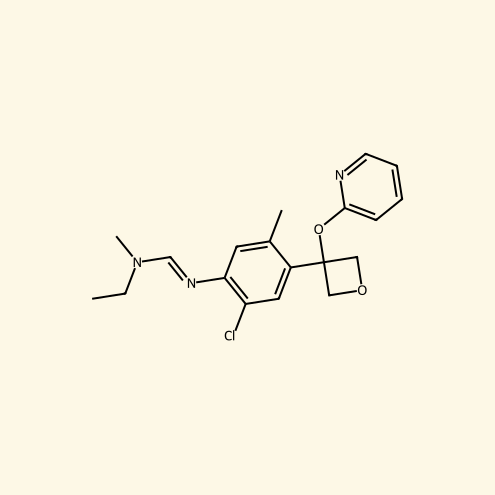 CCN(C)C=Nc1cc(C)c(C2(Oc3ccccn3)COC2)cc1Cl